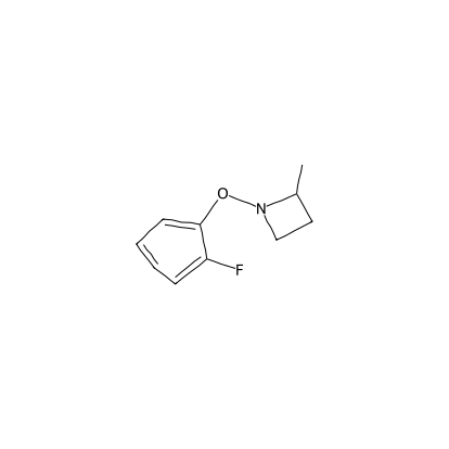 CC1CCN1Oc1ccccc1F